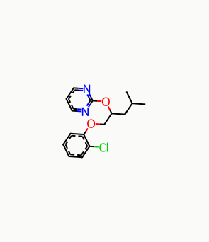 CC(C)CC(COc1ccccc1Cl)Oc1ncccn1